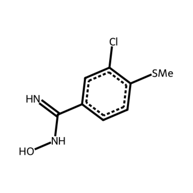 CSc1ccc(C(=N)NO)cc1Cl